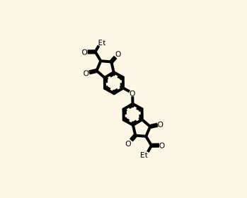 CCC(=O)C1C(=O)c2ccc(Oc3ccc4c(c3)C(=O)C(C(=O)CC)C4=O)cc2C1=O